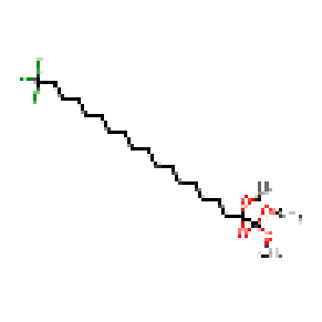 COC1(CCCCCCCCCCCCCCCCC(F)(F)F)OC1(OC)OC